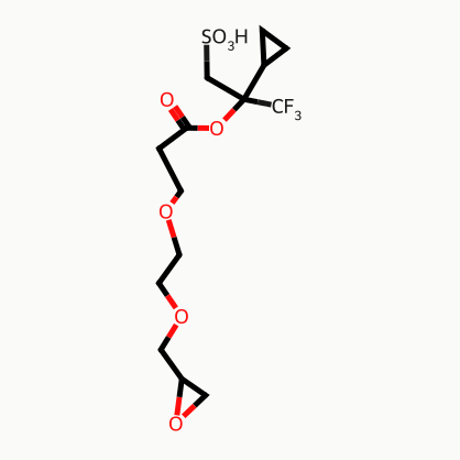 O=C(CCOCCOCC1CO1)OC(CS(=O)(=O)O)(C1CC1)C(F)(F)F